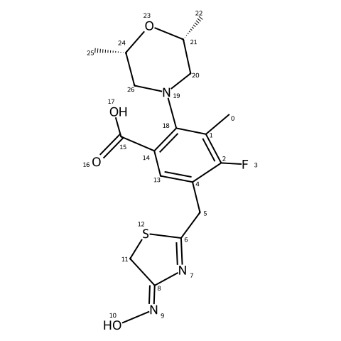 Cc1c(F)c(CC2=NC(=NO)CS2)cc(C(=O)O)c1N1C[C@@H](C)O[C@@H](C)C1